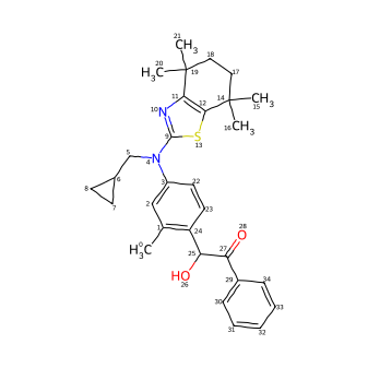 Cc1cc(N(CC2CC2)c2nc3c(s2)C(C)(C)CCC3(C)C)ccc1C(O)C(=O)c1ccccc1